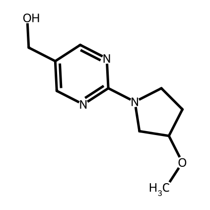 COC1CCN(c2ncc(CO)cn2)C1